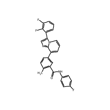 Cc1ccc(-c2cccn3c(-c4cccc(F)c4F)cnc23)cc1C(=O)Nc1ccc(F)cc1